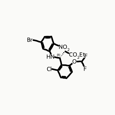 CCOC(=O)C[C@@H](Nc1cc(Br)ccc1[N+](=O)[O-])c1c(Cl)cccc1OC(F)F